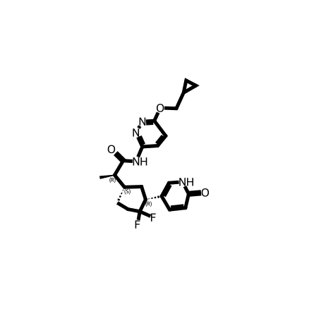 C[C@@H](C(=O)Nc1ccc(OCC2CC2)nn1)[C@H]1CCC(F)(F)[C@@H](c2ccc(=O)[nH]c2)C1